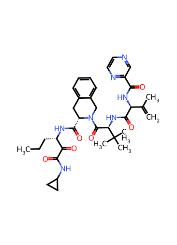 C=C(C)[C@H](NC(=O)c1cnccn1)C(=O)N[C@H](C(=O)N1Cc2ccccc2C[C@H]1C(=O)N[C@@H](CCC)C(=O)C(=O)NC1CC1)C(C)(C)C